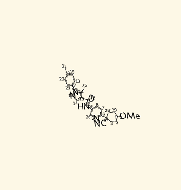 CO[C@H]1CC[C@](C#N)(c2ccc(NC(=O)c3cnn(-c4ccc(C)cc4)c3C)cn2)CC1